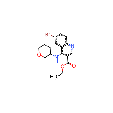 CCOC(=O)c1cnc2ccc(Br)cc2c1NC1CCCOC1